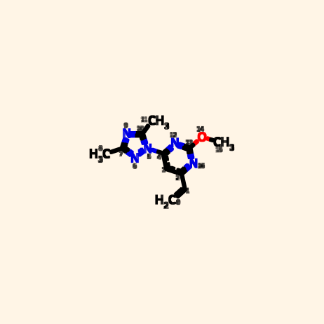 C=Cc1cc(-n2nc(C)nc2C)nc(OC)n1